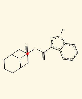 Cl.Cn1nc(C(=O)NC2CC3CCCC(C2)N3C=N)c2ccccc21